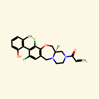 C=CC(=O)N1CCN2Cc3cc(F)c(-c4c(C)cccc4O)c(F)c3OC[C@H]2C1